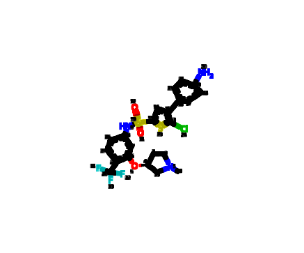 CN1CC[C@@H](Oc2cc(NS(=O)(=O)c3cc(-c4ccc(N)cc4)c(Cl)s3)ccc2C(F)(F)F)C1